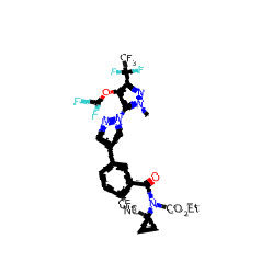 CCOC(=O)N(C(=O)c1cc(-c2cnn(-c3c(OC(F)F)c(C(F)(F)C(F)(F)F)nn3C)c2)ccc1C(F)(F)F)C1(C#N)CC1